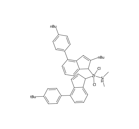 CCCCC1=Cc2c(-c3ccc(CCCC)cc3)cccc2[CH]1[Zr]([Cl])([Cl])([CH]1C=Cc2c(-c3ccc(C(C)(C)C)cc3)cccc21)[SiH](C)C